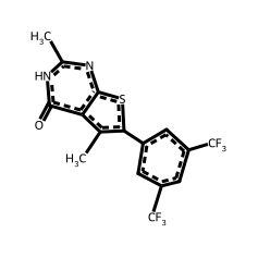 Cc1nc2sc(-c3cc(C(F)(F)F)cc(C(F)(F)F)c3)c(C)c2c(=O)[nH]1